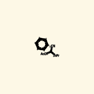 CCCC(C#N)OC(C)=O.c1ccccc1